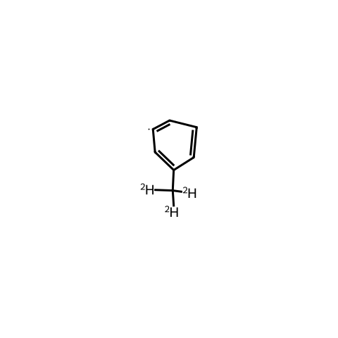 [2H]C([2H])([2H])c1c[c]ccc1